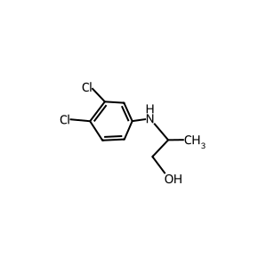 CC(CO)Nc1ccc(Cl)c(Cl)c1